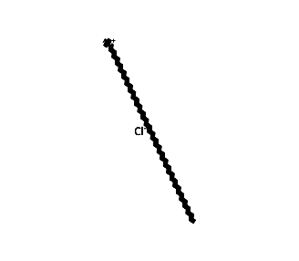 CCCCCCCCCCCCCCCCCCCCCCCCCCCCCCCCCCCCCCCCCCCCCCCCCCCCC[N+](C)(C)C.[Cl-]